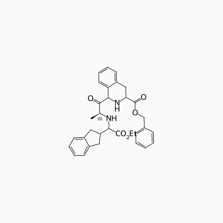 CCOC(=O)C(N[C@@H](C)C(=O)C1NC(C(=O)OCc2ccccc2)Cc2ccccc21)C1Cc2ccccc2C1